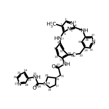 Cc1cnc2nc1Nc1ccc(NC(=O)C[C@H]3CCN(C(=O)Nc4cccnc4)C3)c(c1)CCc1cncc(c1)N2